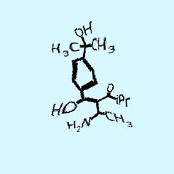 CC(C)C(=O)/C(=C(/O)c1ccc(C(C)(C)O)cc1)C(C)N